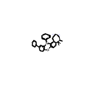 C=C1/C=C\C=C/Cc2c(ccc3c2N(c2ccccc2)c2cc(-c4ccccc4)ccc2O3)C1(C)C